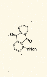 CCCCCCCCCc1cccc2c1C(=O)c1ccccc1C2=O